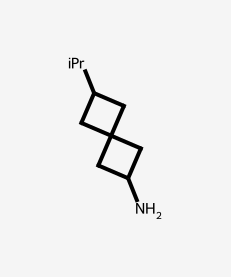 CC(C)C1CC2(CC(N)C2)C1